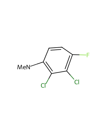 CNc1ccc(F)c(Cl)c1Cl